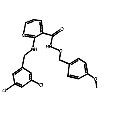 COc1ccc(CONC(=O)c2cccnc2NCc2cc(Cl)cc(Cl)c2)cc1